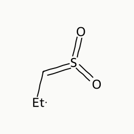 C[CH]C=S(=O)=O